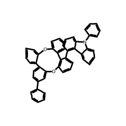 c1ccc(-c2ccc3c(c2)Oc2cccc(-c4cccc5c4c4ccccc4n5-c4ccccc4)c2-c2ccccc2Oc2ccccc2-3)cc1